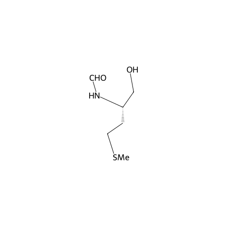 CSCC[C@@H](CO)NC=O